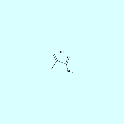 C=C(C)C(N)=O.Cl